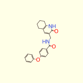 O=C(NCc1cc2c([nH]c1=O)CCCC2)c1ccc(Oc2ccccc2)cc1